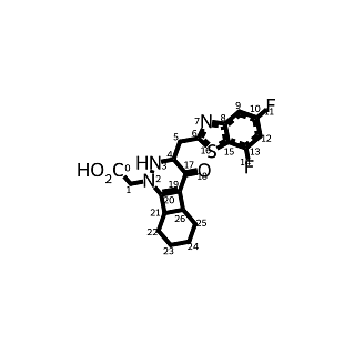 O=C(O)CN1NC(Cc2nc3cc(F)cc(F)c3s2)C(=O)C2=C1C1CCCCC21